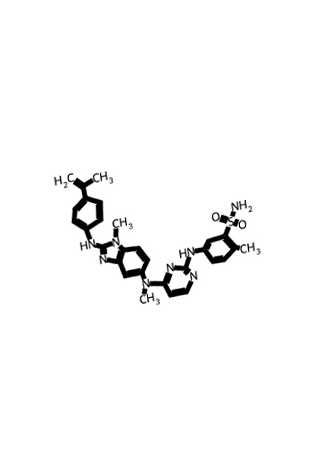 C=C(C)c1ccc(Nc2nc3cc(N(C)c4ccnc(Nc5ccc(C)c(S(N)(=O)=O)c5)n4)ccc3n2C)cc1